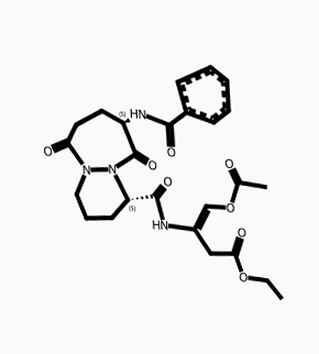 CCOC(=O)CC(=COC(C)=O)NC(=O)[C@@H]1CCCN2C(=O)CC[C@H](NC(=O)c3ccccc3)C(=O)N12